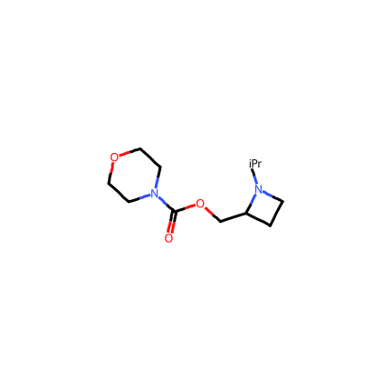 CC(C)N1CCC1COC(=O)N1CCOCC1